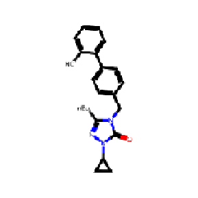 CCCCc1nn(C2CC2)c(=O)n1Cc1ccc(-c2ccccc2C#N)cc1